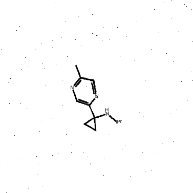 Cc1cnc(C2(NC(C)C)CC2)cn1